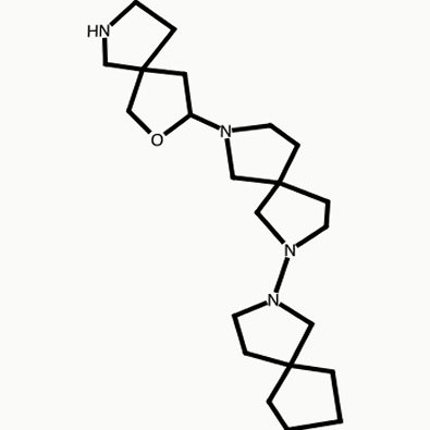 C1CCC2(C1)CCN(N1CCC3(CCN(C4CC5(CCNC5)CO4)C3)C1)C2